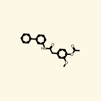 COc1cc(CC(=O)Nc2cccc(-c3ccccc3)c2)ccc1OC(C)=O